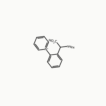 CCCCCCC(C(=O)O)c1ccccc1-[n+]1ccccc1